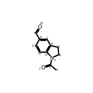 CC(=O)N1CCc2cc(C=O)ccc21